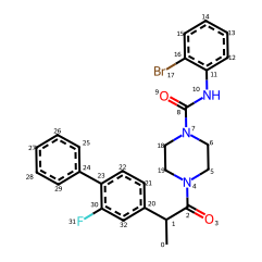 CC(C(=O)N1CCN(C(=O)Nc2ccccc2Br)CC1)c1ccc(-c2ccccc2)c(F)c1